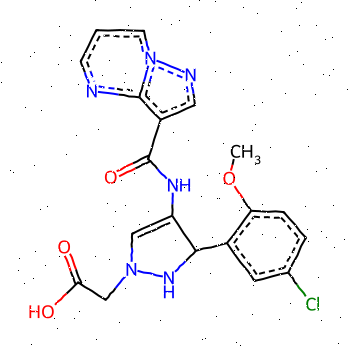 COc1ccc(Cl)cc1C1NN(CC(=O)O)C=C1NC(=O)c1cnn2cccnc12